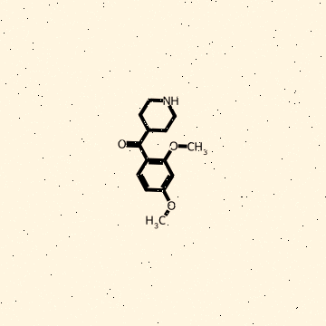 COc1ccc(C(=O)C2CCNCC2)c(OC)c1